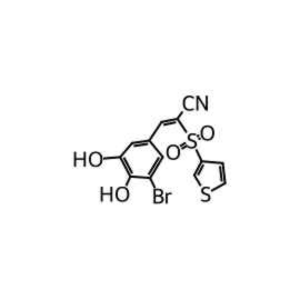 N#CC(=Cc1cc(O)c(O)c(Br)c1)S(=O)(=O)c1ccsc1